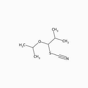 CC(C)OC(SC#N)C(C)C